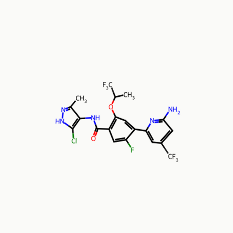 Cc1n[nH]c(Cl)c1NC(=O)c1cc(F)c(-c2cc(C(F)(F)F)cc(N)n2)cc1OC(C)C(F)(F)F